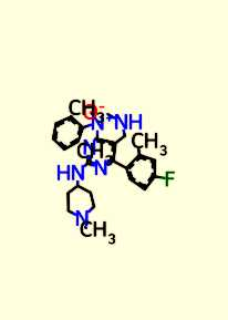 Cc1cc(F)ccc1-c1nc(NC2CCN(C)CC2)nc2c1CNC[N+]2([O-])c1c(C)cccc1C